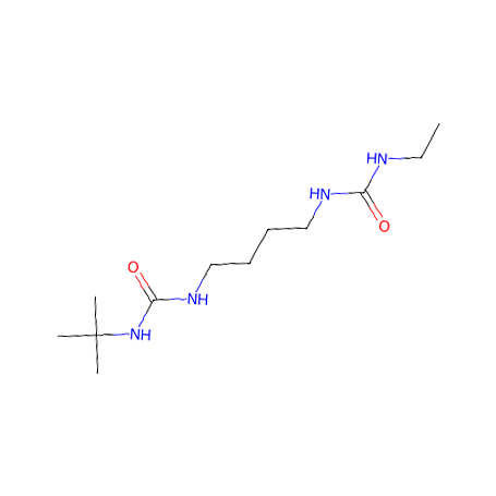 CCNC(=O)NCCCCNC(=O)NC(C)(C)C